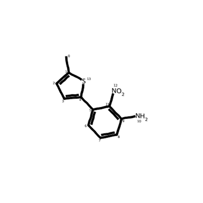 Cc1ccc(-c2cccc(N)c2[N+](=O)[O-])s1